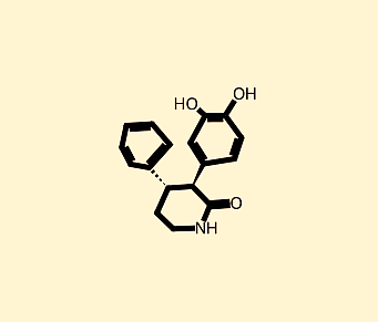 O=C1NCC[C@H](c2ccccc2)[C@H]1c1ccc(O)c(O)c1